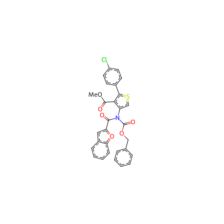 COC(=O)c1c(N(C(=O)OCc2ccccc2)C(=O)c2cc3ccccc3o2)csc1-c1ccc(Cl)cc1